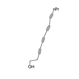 CCCC#CC#CC#CC#CCCO